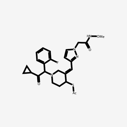 CONC(=O)Cn1ccc(/C=C2\CN(C(C(=O)C3CC3)c3ccccc3F)CCC2SC(C)=O)n1